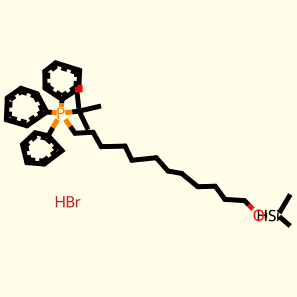 Br.C[SiH](C)OCCCCCCCCCCCCP(c1ccccc1)(c1ccccc1)(c1ccccc1)C(C)(C)C